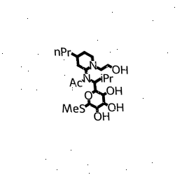 CCCC1CCN(CCO)C(N(C(C)=O)C(C(C)C)C2OC(SC)C(O)C(O)C2O)C1